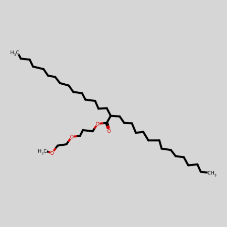 CCCCCCCCCCCCCCCC(CCCCCCCCCCCCCCC)C(=O)OCCCOCCOC